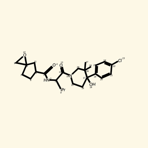 CC(C)C(NC(=O)C1CCC2(CO2)C1)C(=O)N1CCC(O)(c2ccc(Cl)cc2)C(C)(C)C1